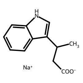 CC(CC(=O)[O-])c1c[nH]c2ccccc12.[Na+]